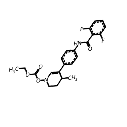 CCOC(=O)ON1C=C(c2ccc(NC(=O)c3c(F)cccc3F)cc2)C(C)CC1